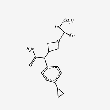 C[C](C)C(NC(=O)O)N1CC(C(C(N)=O)c2ccc(C3CC3)cc2)C1